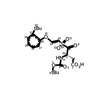 CC(C)(C)OC(=O)N[C@@H](CC(=O)O)C(=O)S(=O)(=O)C=COc1ccccc1C(C)(C)C